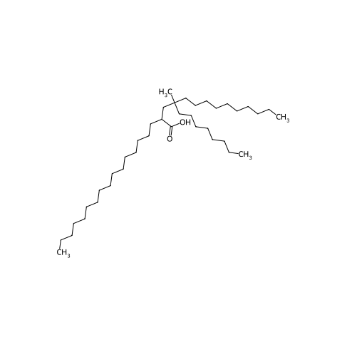 CCCCCCCCCCCCCCCCC(CC(C)(CCCCCCCC)CCCCCCCCCC)C(=O)O